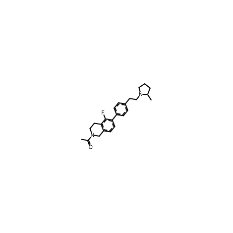 CC(=O)N1CCc2c(ccc(-c3ccc(CCN4CCCC4C)cc3)c2F)C1